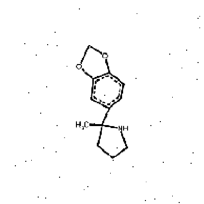 CC1(c2ccc3c(c2)OCO3)CCCN1